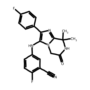 CC1(C)NC(=O)Cn2c1nc(-c1ccc(F)cc1)c2Nc1ccc(F)c(C#N)c1